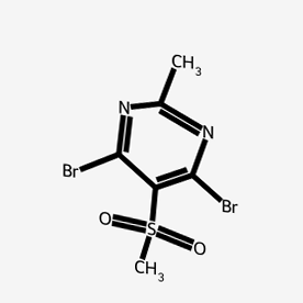 Cc1nc(Br)c(S(C)(=O)=O)c(Br)n1